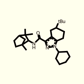 CC(C)(C)C1CCc2c(c(C(=O)NC3C4(C)CCC(C4)C3(C)C)nn2C2CCCCC2)C1